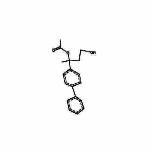 CC(=O)OC(C)(CCO)c1ccc(-c2ccccc2)cc1